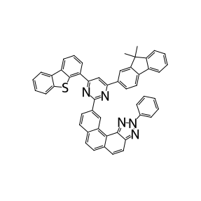 CC1(C)c2ccccc2-c2ccc(-c3cc(-c4cccc5c4sc4ccccc45)nc(-c4ccc5ccc6ccc7nn(-c8ccccc8)nc7c6c5c4)n3)cc21